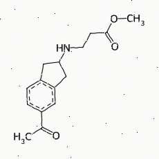 COC(=O)CCNC1Cc2ccc(C(C)=O)cc2C1